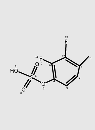 Cc1ccc(OS(=O)(=O)O)c(F)c1F